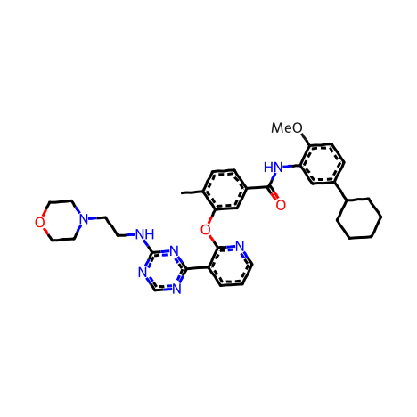 COc1ccc(C2CCCCC2)cc1NC(=O)c1ccc(C)c(Oc2ncccc2-c2ncnc(NCCN3CCOCC3)n2)c1